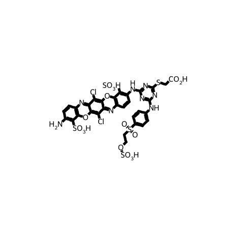 Nc1ccc2c(c1S(=O)(=O)O)Oc1c(Cl)c3c(c(Cl)c1=N2)Oc1c(ccc(Nc2nc(Nc4ccc(S(=O)(=O)CCOS(=O)(=O)O)cc4)nc(SCC(=O)O)n2)c1S(=O)(=O)O)N=3